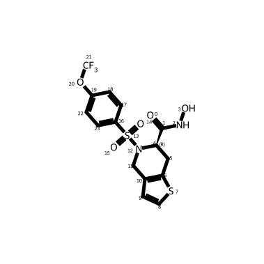 O=C(NO)[C@H]1Cc2sccc2CN1S(=O)(=O)c1ccc(OC(F)(F)F)cc1